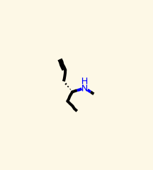 C=CC[C@@H](CC)NC